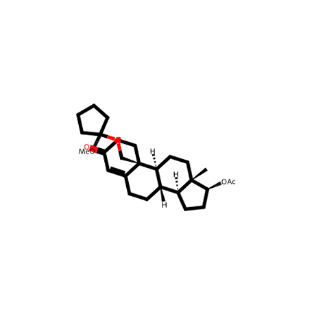 COC1(OC[C@]23CCC(=O)C=C2CC[C@@H]2[C@@H]3CC[C@]3(C)[C@@H](OC(C)=O)CC[C@@H]23)CCCC1